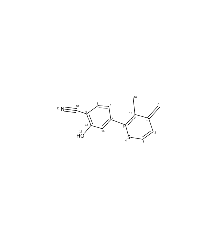 C=C1C=CSC(c2ccc(C#N)c(O)c2)=C1C